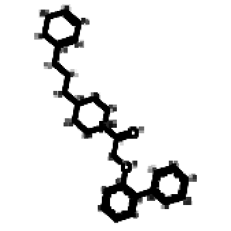 O=C(COc1ccccc1-c1ccccc1)N1CCC(CCCC2=CC=CCC2)CC1